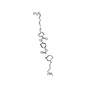 C=CCCCCOc1ccc(C(=O)Oc2ccc(OC(=O)[C@H]3CC[C@H](CCCCC)CC3)cc2)cc1